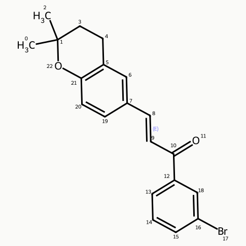 CC1(C)CCc2cc(/C=C/C(=O)c3cccc(Br)c3)ccc2O1